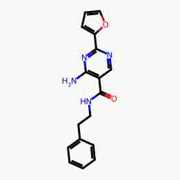 Nc1nc(-c2ccco2)ncc1C(=O)NCCc1ccccc1